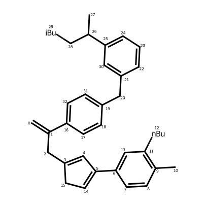 C=C(CC1=CC(c2ccc(C)c(CCCC)c2)=CC1)c1ccc(Cc2cccc(C(C)CC(C)CC)c2)cc1